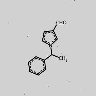 CC(c1ccccc1)n1ccc(C=O)c1